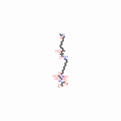 COC(=O)C(C(C)OC)N(C)C(=O)C(O)(CO)N(O)C(=O)/C=C/C=C/C=C/C=C\CNC(=O)C(C)(C)C(O)\C(C)=C/C=C\C=C\Cc1cnc(C)o1